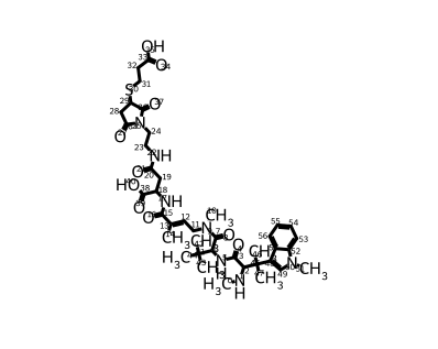 CNC(C(=O)NC(C(=O)N(C)C/C=C(\C)C(=O)NC(CC(=O)NCCN1C(=O)CC(SCCC(=O)O)C1=O)C(=O)O)C(C)(C)C)C(C)(C)c1cn(C)c2ccccc12